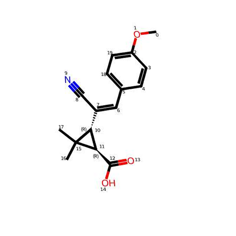 COc1ccc(C=C(C#N)[C@@H]2[C@@H](C(=O)O)C2(C)C)cc1